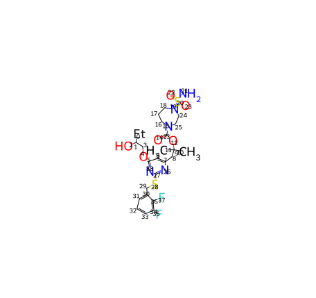 CCC(O)COc1cc(CC(C)(C)OC(=O)N2CCCN(S(N)(=O)=O)CC2)nc(SCc2cccc(F)c2F)n1